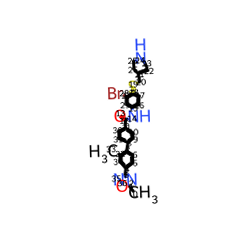 Cc1nc(-c2ccc(-c3ccc(C(=O)Nc4ccc(SCC5=CCNCC5)c(Br)c4)cc3)c(C)c2)no1